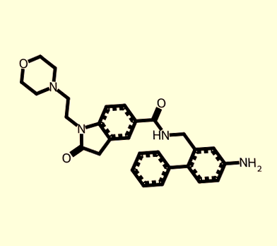 Nc1ccc(-c2ccccc2)c(CNC(=O)c2ccc3c(c2)CC(=O)N3CCN2CCOCC2)c1